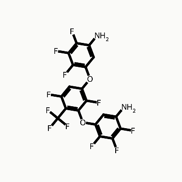 Nc1cc(Oc2cc(F)c(C(F)(F)F)c(Oc3cc(N)c(F)c(F)c3F)c2F)c(F)c(F)c1F